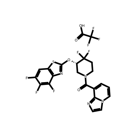 O=C(O)C(F)(F)F.O=C(c1cccn2ccnc12)N1CCC(F)(F)[C@@H](Oc2nc3c(F)c(F)c(F)cc3s2)C1